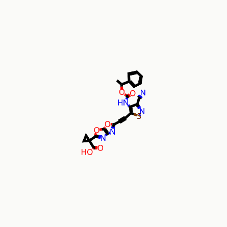 CC(OC(=O)Nc1c(C#N)nsc1C#Cc1nc2nc(C3(C(=O)O)CC3)oc2o1)c1ccccc1